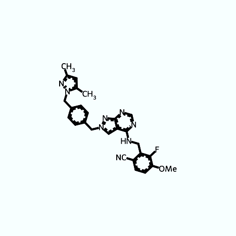 COc1ccc(C#N)c(CNc2ncnc3nn(Cc4ccc(Cn5nc(C)cc5C)cc4)cc23)c1F